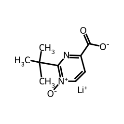 CC(C)(C)c1nc(C(=O)[O-])cc[n+]1[O-].[Li+]